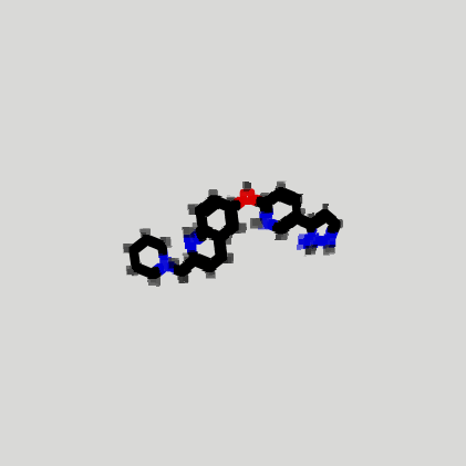 c1cc(-c2ccc(Oc3ccc4nc(CN5CCCCC5)ccc4c3)nc2)[nH]n1